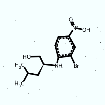 CC(C)C[C@@H](CO)Nc1ccc([N+](=O)O)cc1Br